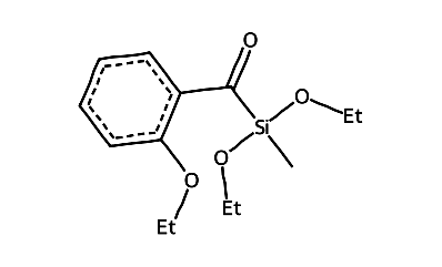 CCOc1ccccc1C(=O)[Si](C)(OCC)OCC